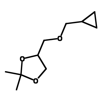 CC1(C)OCC(COCC2CC2)O1